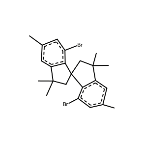 Cc1cc(Br)c2c(c1)C(C)(C)CC21CC(C)(C)c2cc(C)cc(Br)c21